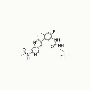 CC(=O)Nc1cc2nc(C)c(-c3cc(NC(=O)NCCC(C)(C)C)c(F)cc3C)cc2cn1